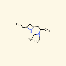 CCC1CC(CC(C)N(CC)CC)N1